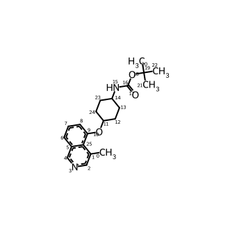 Cc1cncc2cccc(OC3CCC(NC(=O)OC(C)(C)C)CC3)c12